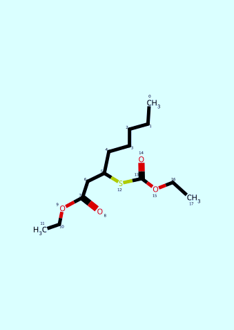 CCCCCC(CC(=O)OCC)SC(=O)OCC